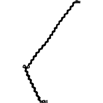 CCCCCCCCC=CCCCCCCCCCCCCCC(=O)OCCCCCCCCCCCCCCCCCCCCCCCCCCCCCCCCCCCC(C)CC